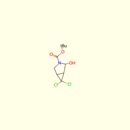 CC(C)(C)OC(=O)N1CC2C(C1O)C2(Cl)Cl